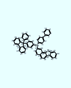 c1ccc(-c2ccc(N(c3ccc(C4(c5ccccc5)c5ccccc5-c5ccccc54)cc3)c3ccc4ccc5c6ccccc6sc5c4c3)cc2)cc1